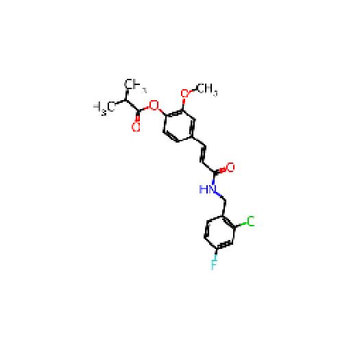 COc1cc(/C=C/C(=O)NCc2ccc(F)cc2Cl)ccc1OC(=O)C(C)C